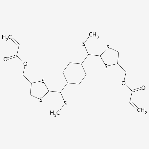 C=CC(=O)OCC1CSC(C(SC)C2CCC(C(SC)C3SCC(COC(=O)C=C)S3)CC2)S1